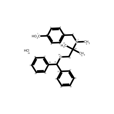 CN(Cc1ccc(C(=O)O)cc1)C(C)(C)COC(c1ccccc1)c1ccccc1.Cl